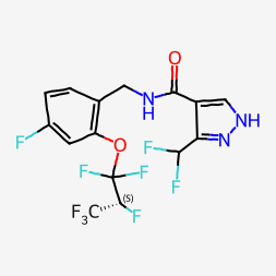 O=C(NCc1ccc(F)cc1OC(F)(F)[C@H](F)C(F)(F)F)c1c[nH]nc1C(F)F